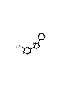 CCCc1cc(-c2nc(-c3ccccc3)cs2)ccn1